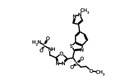 COCCS(=O)(=O)C(c1nnc(CNS(N)(=O)=O)o1)c1nc2ccc(-c3cnn(C)c3)cc2s1